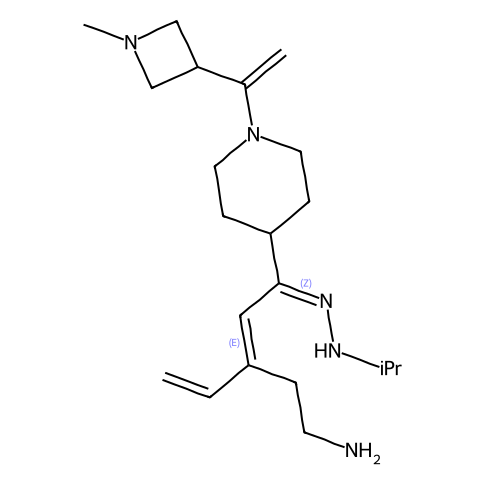 C=C/C(=C/C(=N\NC(C)C)C1CCN(C(=C)C2CN(C)C2)CC1)CCN